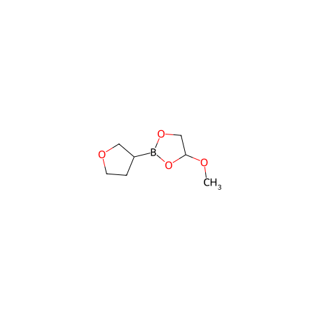 COC1COB(C2CCOC2)O1